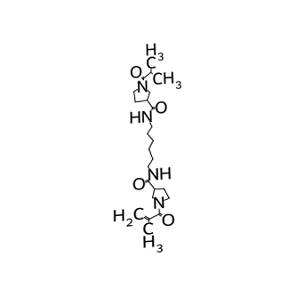 C=C(C)C(=O)N1CCC(C(=O)NCCCCCCNC(=O)C2CCN(C(=O)C(C)C)C2)C1